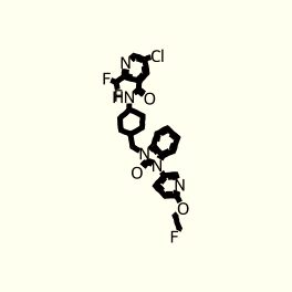 O=C(NC1CCC(Cn2c(=O)n(-c3ccc(OCCF)nc3)c3ccccc32)CC1)c1cc(Cl)cnc1C(F)F